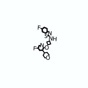 Fc1cnc(O[C@H]2C[C@H](Nc3nc4ccc(F)cc4s3)C2)c(C2CCOCC2)c1